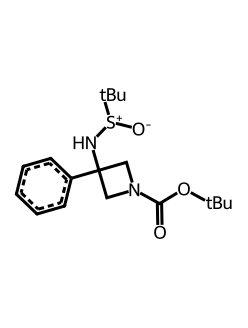 CC(C)(C)OC(=O)N1CC(N[S+]([O-])C(C)(C)C)(c2ccccc2)C1